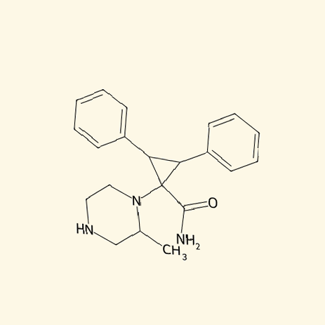 CC1CNCCN1C1(C(N)=O)C(c2ccccc2)C1c1ccccc1